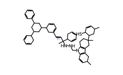 CC1C=Cc2c(c3c(n2CNNC(C)(/C=C/C2=CC=CC(C4CC(c5ccccc5)CC(C5C=CC=CC5)C4)C2)C2C=CC=CC2)CCC(C)(C2CC(C)C=CC2S)C3)C1